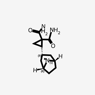 CN1[C@@H]2CC[C@H]1C[C@@H](C1CC1(C(N)=O)C(N)=O)C2